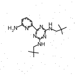 CC(C)(C)CNc1nc(NCC(C)(C)C)nc(-c2cccc(N)n2)n1